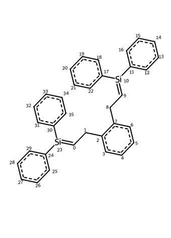 C(Cc1ccccc1CC=[Si](c1ccccc1)c1ccccc1)=[Si](c1ccccc1)c1ccccc1